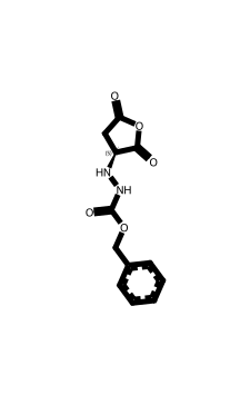 O=C1C[C@H](NNC(=O)OCc2ccccc2)C(=O)O1